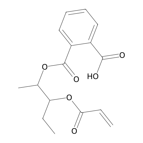 C=CC(=O)OC(CC)C(C)OC(=O)c1ccccc1C(=O)O